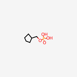 O=P(O)(O)OCC1CCCC1